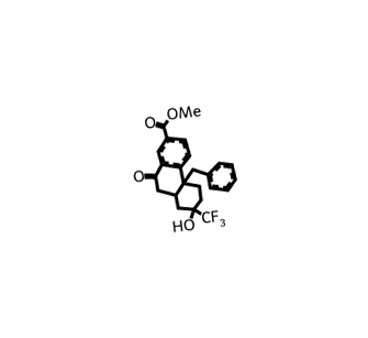 COC(=O)c1ccc2c(c1)C(=O)CC1CC(O)(C(F)(F)F)CCC21Cc1ccccc1